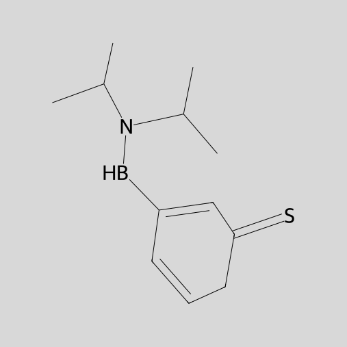 CC(C)N(BC1=CC(=S)CC=C1)C(C)C